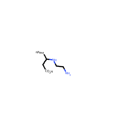 CCCCCC(CC(=O)O)NCCN